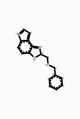 C1=Nc2ccc3c(c2=C1)=NC(COCc1ccccc1)O3